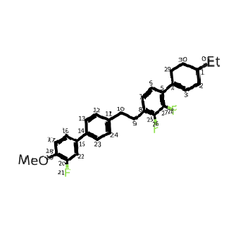 CCC1CC=C(c2ccc(CCc3ccc(-c4ccc(OC)c(F)c4)cc3)c(F)c2F)CC1